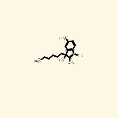 CC1=[N+](C)c2ccc(S(=O)(=O)O)cc2C1(C)CCCCCC(=O)O